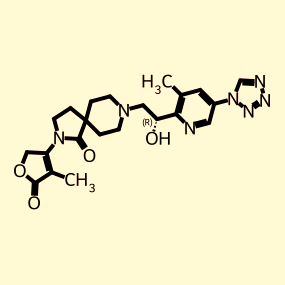 CC1=C(N2CCC3(CCN(C[C@@H](O)c4ncc(-n5cnnn5)cc4C)CC3)C2=O)COC1=O